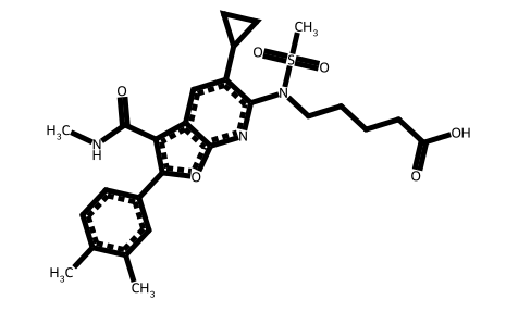 CNC(=O)c1c(-c2ccc(C)c(C)c2)oc2nc(N(CCCCC(=O)O)S(C)(=O)=O)c(C3CC3)cc12